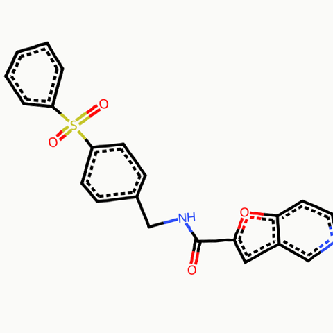 O=C(NCc1ccc(S(=O)(=O)c2ccccc2)cc1)c1cc2cnccc2o1